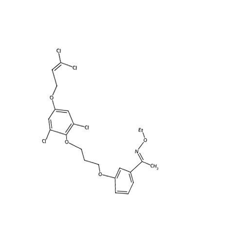 CCON=C(C)c1cccc(OCCCOc2c(Cl)cc(OCC=C(Cl)Cl)cc2Cl)c1